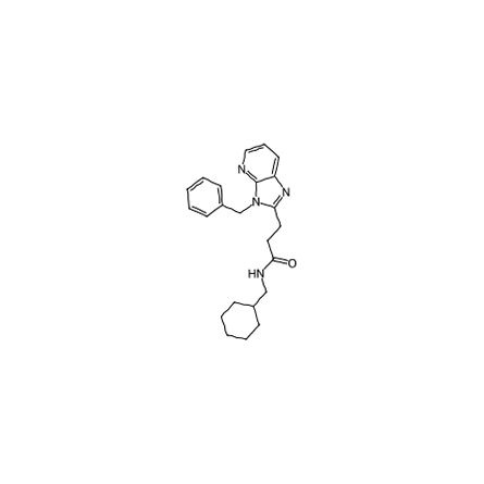 O=C(CCc1nc2cccnc2n1Cc1ccccc1)NCC1CCCCC1